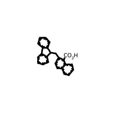 O=C(O)c1c(CC2c3ccccc3-c3ccccc32)ccc2ccccc12